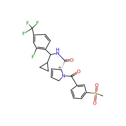 CS(=O)(=O)c1cccc(C(=O)N2CC=C[C@@H]2C(=O)NC(c2ccc(C(F)(F)F)cc2F)C2CC2)c1